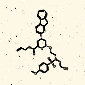 C=CCOC(=O)C1=C[C@H](c2ccc3c(c2)Cc2ccccc2-3)C[C@H](OCCN(CCO)S(=O)(=O)c2ccc(OC)cc2)O1